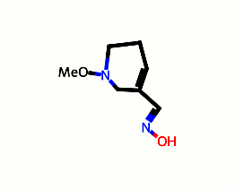 CON1CCC=C(C=NO)C1